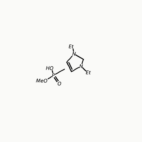 CCN1C=CN(CC)C1.COP(C)(=O)O